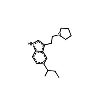 CCC(C)c1ccc2[nH]cc(CCN3CCCC3)c2c1